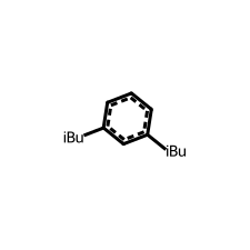 CCC(C)c1cccc(C(C)CC)c1